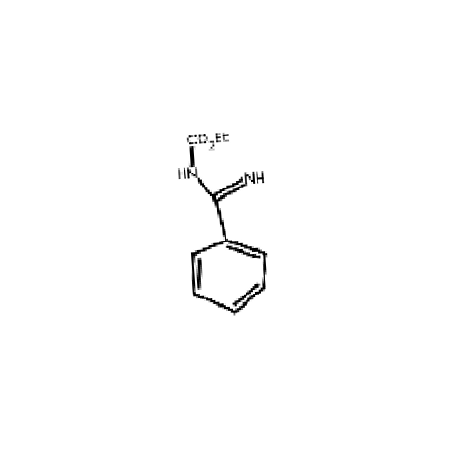 CCOC(=O)NC(=N)c1cc[c]cc1